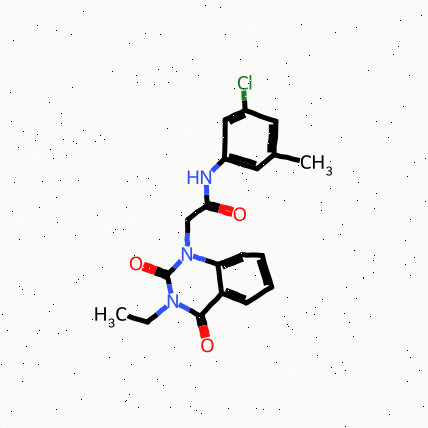 CCn1c(=O)c2ccccc2n(CC(=O)Nc2cc(C)cc(Cl)c2)c1=O